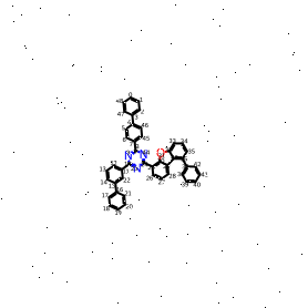 c1ccc(-c2ccc(-c3nc(-c4cccc(-c5ccccc5)c4)nc(-c4cccc5c4oc4cccc(-c6ccccc6)c45)n3)cc2)cc1